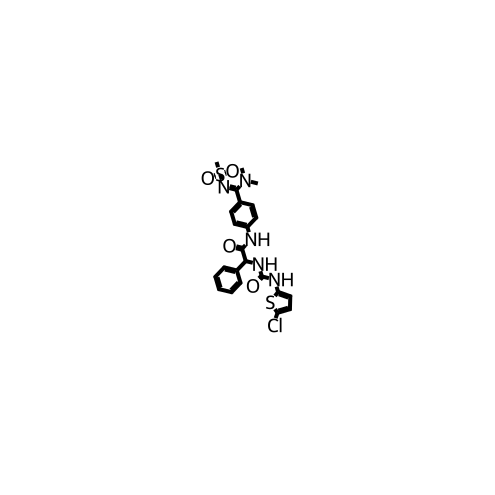 CN(C)C(=NS(C)(=O)=O)c1ccc(NC(=O)C(NC(=O)Nc2ccc(Cl)s2)c2ccccc2)cc1